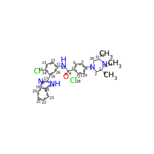 C[C@@H]1CN(c2ccc(C(=O)Nc3ccc(Cl)c(-c4nc5ccccc5[nH]4)c3)c(Cl)c2)C[C@H](C)N1C